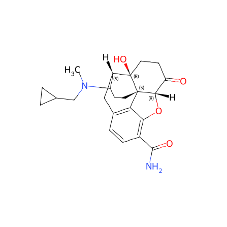 CN(CC1CC1)C1CC[C@]23c4c5ccc(C(N)=O)c4O[C@H]2C(=O)CC[C@@]3(O)[C@H]1C5